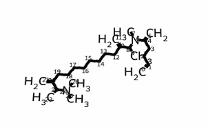 C=CCCC(=C)N(C)C(C)C(=C)CCCCCCCCC(=C)C(C)N(C)C